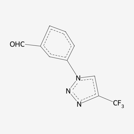 O=Cc1cccc(-n2cc(C(F)(F)F)nn2)c1